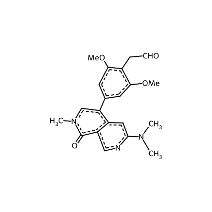 COc1cc(-c2cn(C)c(=O)c3cnc(N(C)C)cc23)cc(OC)c1CC=O